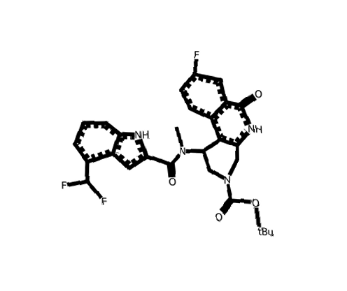 CN(C(=O)c1cc2c(C(F)F)cccc2[nH]1)C1CN(C(=O)OC(C)(C)C)Cc2[nH]c(=O)c3cc(F)ccc3c21